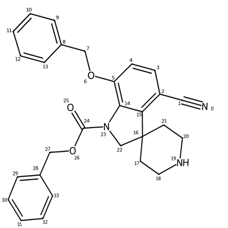 N#Cc1ccc(OCc2ccccc2)c2c1C1(CCNCC1)CN2C(=O)OCc1ccccc1